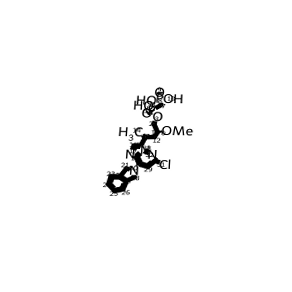 CO[C@H](COP(=O)(O)CP(=O)(O)O)CC(C)c1cnc2c(N3Cc4ccccc4C3)cc(Cl)nn12